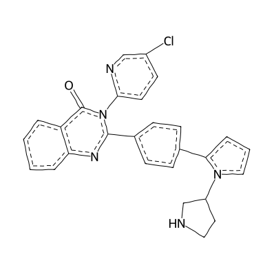 O=c1c2ccccc2nc(-c2ccc(-c3cccn3C3CCNC3)cc2)n1-c1ccc(Cl)cn1